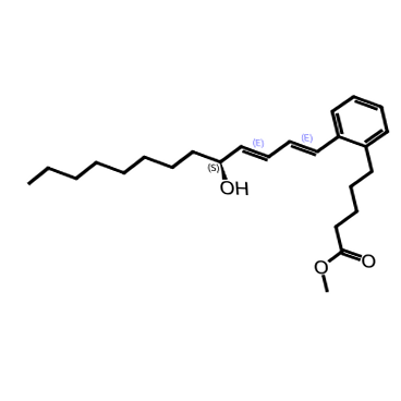 CCCCCCCC[C@H](O)/C=C/C=C/c1ccccc1CCCCC(=O)OC